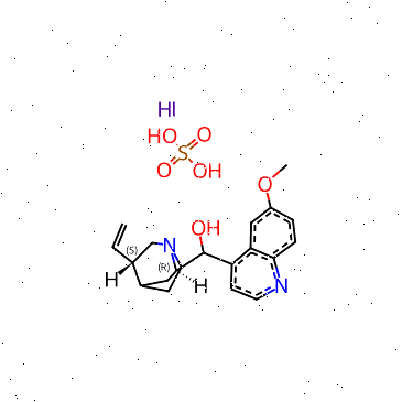 C=C[C@@H]1CN2CCC1C[C@@H]2C(O)c1ccnc2ccc(OC)cc12.I.O=S(=O)(O)O